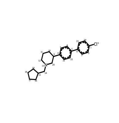 Clc1ccc(-c2ccc(C3CCCN(CC4CCCC4)C3)cc2)cc1